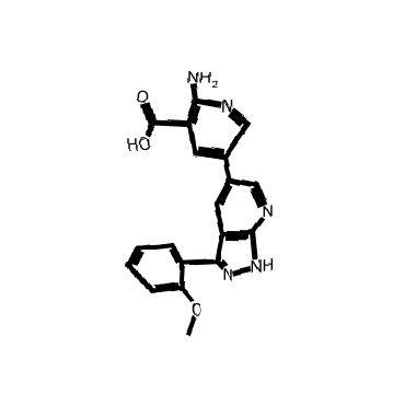 COc1ccccc1-c1n[nH]c2ncc(-c3cnc(N)c(C(=O)O)c3)cc12